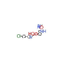 Cc1nnc(-c2cc3c(OC[C@@H](O)CN4CCC(c5ccc(Cl)cc5)CC4)cccc3[nH]2)o1